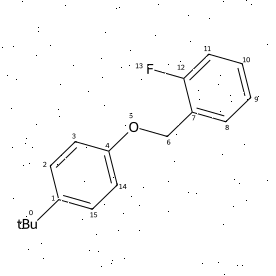 CC(C)(C)c1ccc(OCc2ccccc2F)cc1